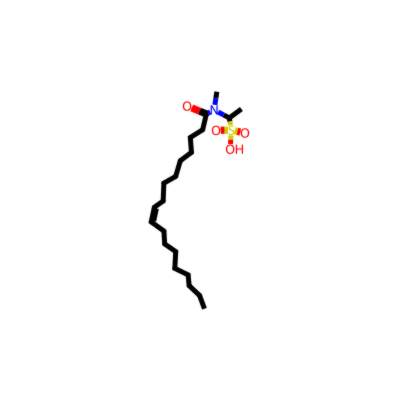 CCCCCCCC/C=C\CCCCCCCC(=O)N(C)C(C)S(=O)(=O)O